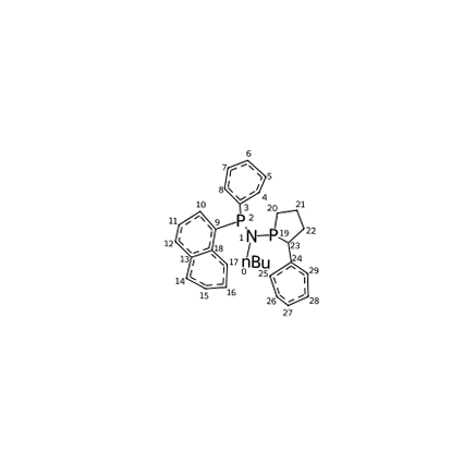 CCCCN(P(c1ccccc1)c1cccc2ccccc12)P1CCCC1c1ccccc1